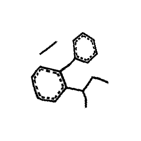 CC.CCC(C)c1ccccc1-c1ccccc1